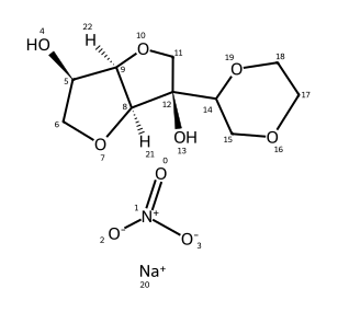 O=[N+]([O-])[O-].O[C@@H]1CO[C@H]2[C@@H]1OC[C@]2(O)C1COCCO1.[Na+]